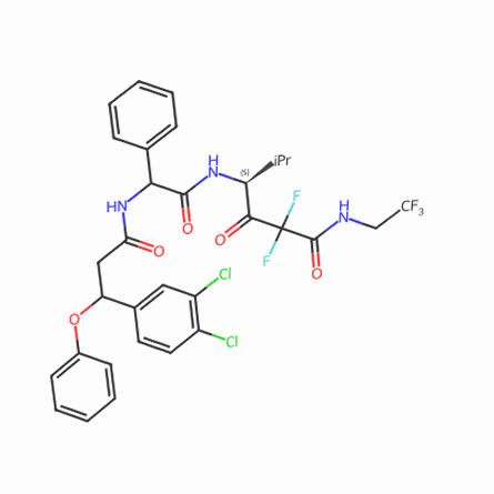 CC(C)[C@H](NC(=O)C(NC(=O)CC(Oc1ccccc1)c1ccc(Cl)c(Cl)c1)c1ccccc1)C(=O)C(F)(F)C(=O)NCC(F)(F)F